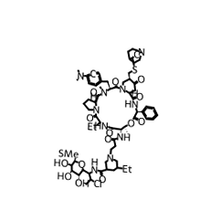 CCC1CC(C(=O)NC(C(C)Cl)C2O[C@H](SC)C(O)[C@H](O)[C@H]2O)CN(CCC(=O)N[C@@H]2C(=O)NC(CC)C(=O)N3CCC[C@H]3C(=O)N(C)[C@@H](Cc3ccc(N(C)C)cc3)C(=O)N3C[C@@H](CSC4CN5CCC4CC5)C(=O)C[C@H]3C(=O)N[C@@H](c3ccccc3)C(=O)O[C@@H]2C)C1